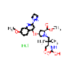 COC(=O)[C@@H]1C[C@@H](Oc2cc(-n3cccn3)nc3cc(OC)ccc23)CN1CC(C)(C)[C@@H](C=O)NC(=O)O.Cl